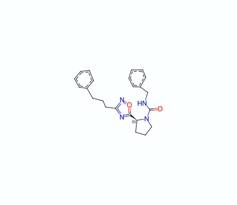 O=C(NCc1ccccc1)N1CCC[C@H]1c1nc(CCCc2ccccc2)no1